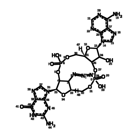 [N-]=[N+]=NC1C2OP(=O)(O)OC[C@H]3O[C@@H](n4cnc5c(N)ncnc54)C(O)C3OP(=O)(O)OC[C@H]1O[C@H]2n1cnc2c(=O)[nH]c(N)nc21